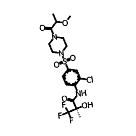 COC(C)C(=O)N1CCN(S(=O)(=O)c2ccc(NC(=O)[C@@](C)(O)C(F)(F)F)c(Cl)c2)CC1